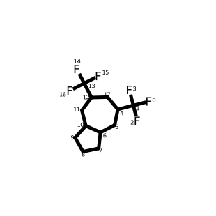 FC(F)(F)C1CC2CCCC2CC(C(F)(F)F)C1